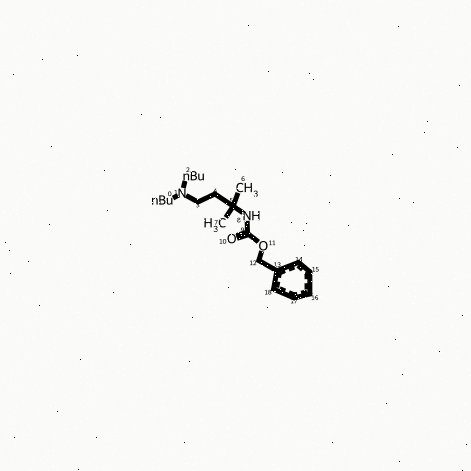 CCCCN(CCCC)CCC(C)(C)NC(=O)OCc1ccccc1